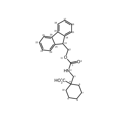 O=C(NCC1(C(=O)O)CCCCC1)OCC1c2ccccc2-c2ccccc21